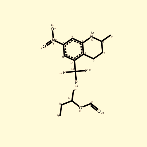 CC1CCc2c(cc([N+](=O)[O-])cc2C(F)(F)F)N1.CCC(C)OC=O